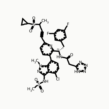 CC(C#Cc1ccc(-c2ccc(Cl)c3c(NS(C)(=O)=O)nn(C)c23)c([C@H](Cc2cc(F)cc(F)c2)NC(=O)Cc2nnn[nH]2)n1)S(=O)(=O)C1CC1